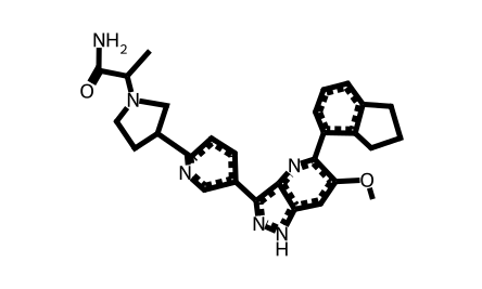 COc1cc2[nH]nc(-c3ccc(C4CCN(C(C)C(N)=O)C4)nc3)c2nc1-c1cccc2c1CCC2